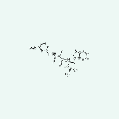 COc1cccc(CNC(=O)C(F)C(=O)N[C@@H](Cc2coc3ccccc23)OB(O)O)c1